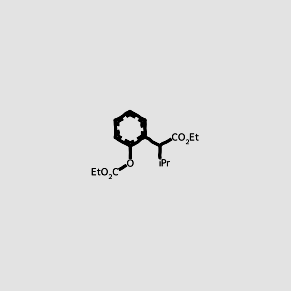 CCOC(=O)Oc1ccccc1C(C(=O)OCC)C(C)C